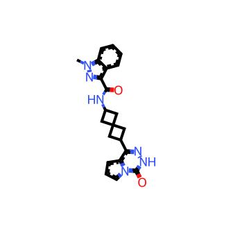 Cn1nc(C(=O)NC2CC3(C2)CC(c2n[nH]c(=O)n4cccc24)C3)c2ccccc21